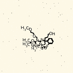 COCCOCN(C(=O)OC(C)(C)C)C1=NC(CCCO)(c2ccccc2F)CS(=O)(=O)N1C